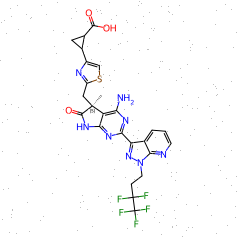 C[C@@]1(Cc2nc(C3CC3C(=O)O)cs2)C(=O)Nc2nc(-c3nn(CCC(F)(F)C(F)(F)F)c4ncccc34)nc(N)c21